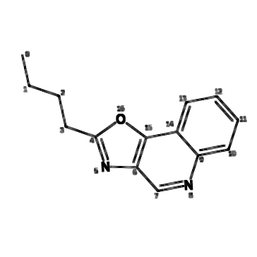 CCCCc1nc2cnc3ccccc3c2o1